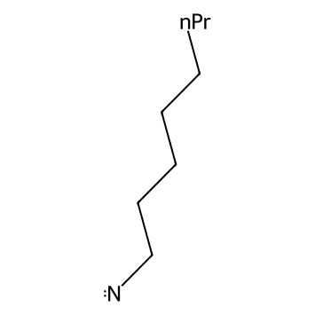 CCCCCCCC[N]